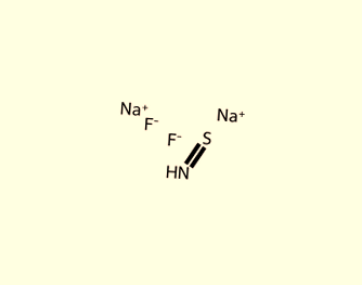 N=S.[F-].[F-].[Na+].[Na+]